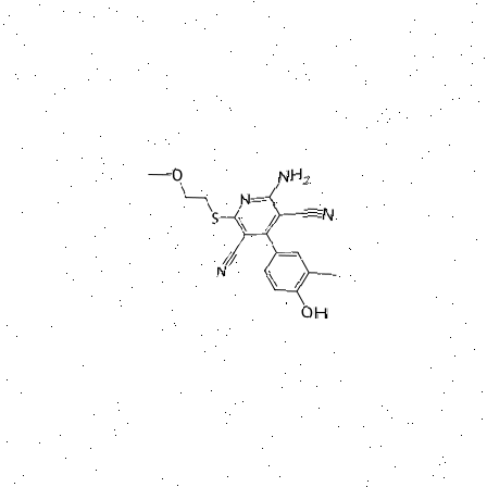 COCCSc1nc(N)c(C#N)c(-c2ccc(O)c(C)c2)c1C#N